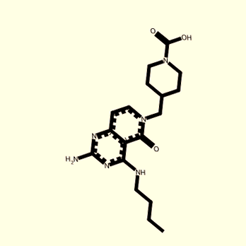 CCCCNc1nc(N)nc2ccn(CC3CCN(C(=O)O)CC3)c(=O)c12